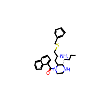 CCCC[C@@H]1NCCN(C(=O)c2cccc3ccccc23)C1C[C@@H](N)CSCc1ccccc1